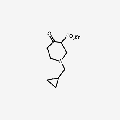 CCOC(=O)C1CN(CC2CC2)CCC1=O